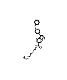 CCCCCCOC(=O)c1cnc2c(-c3ccc(Sc4ccccc4)cc3)cnn2c1